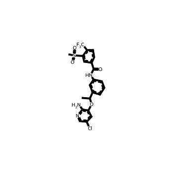 CC(Oc1cc(Cl)cnc1N)c1cccc(NC(=O)c2ccc(C(F)(F)F)c(S(C)(=O)=O)c2)c1